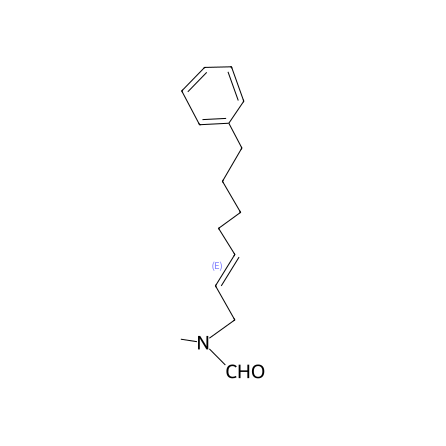 CN(C=O)C/C=C/CCCCc1ccccc1